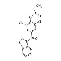 CCC(=O)Oc1c(Cl)cc(C(=O)N2CSc3ccccc32)cc1Cl